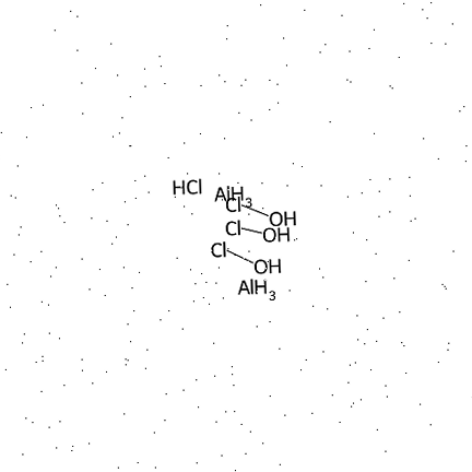 Cl.OCl.OCl.OCl.[AlH3].[AlH3]